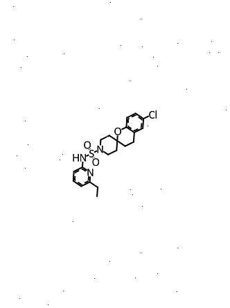 CCc1cccc(NS(=O)(=O)N2CCC3(CCc4cc(Cl)ccc4O3)CC2)n1